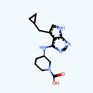 O=C(O)N1CCC[C@@H](Nc2ncnc3[nH]cc(CC4CC4)c23)C1